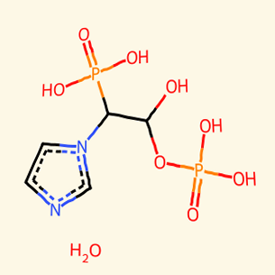 O.O=P(O)(O)OC(O)C(n1ccnc1)P(=O)(O)O